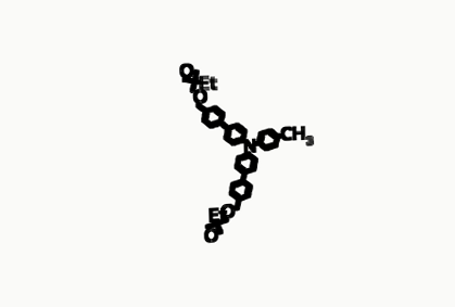 CCC1(COCc2ccc(-c3ccc(N(c4ccc(C)cc4)c4ccc(-c5ccc(COCC6(CC)COC6)cc5)cc4)cc3)cc2)COC1